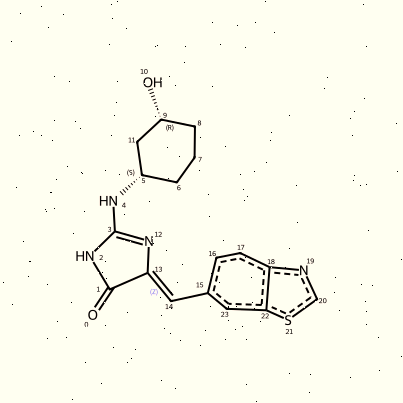 O=C1NC(N[C@H]2CCC[C@@H](O)C2)=N/C1=C\c1ccc2ncsc2c1